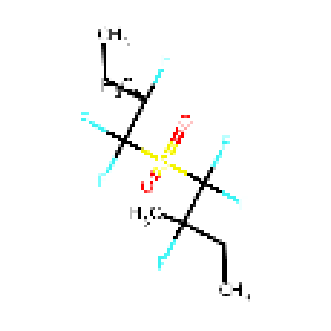 CCC(C)(F)C(F)(F)S(=O)(=O)C(F)(F)C(C)(F)CC